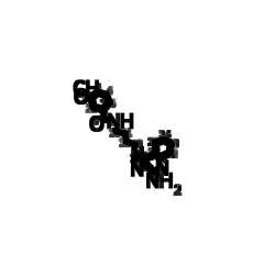 COc1cccc(C(=O)NCCCCn2cnc3c(N)nc4ccccc4c32)c1